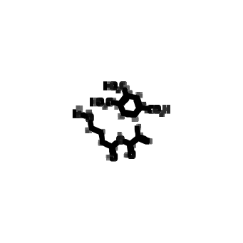 C=C(C)C(=O)OC(=O)CCCOCC.O=C(O)c1ccc(C(=O)O)c(C(=O)O)c1